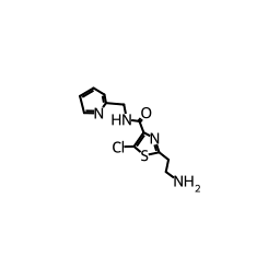 NCCc1nc(C(=O)NCc2ccccn2)c(Cl)s1